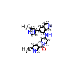 CC1=CC(c2cc(NC3CCN(C(=O)c4ccc(C)nc4)CC3)c3cnccc3c2)CCN1